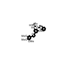 COc1cc(C2CCC(c3cc(OC)c(OC)c(OC)c3)O2)cc(NC(=O)N(O)C(C)(C)C)c1OC(C)Sc1ccccc1Br